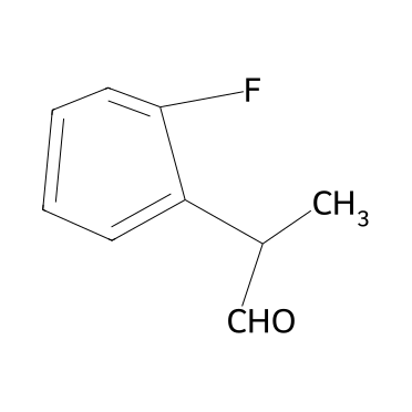 CC(C=O)c1ccccc1F